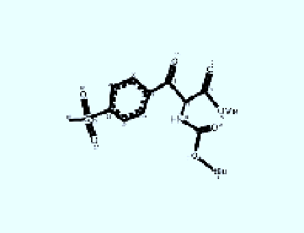 COC(=O)[C@@H](NC(=O)OC(C)(C)C)C(=O)c1ccc(S(C)(=O)=O)cc1